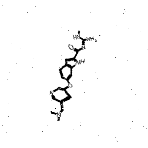 CNC(N)=NC(=O)c1cc2ccc(Oc3cncc(CN(C)C)c3)cc2[nH]1